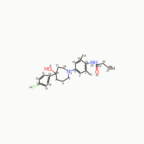 Cc1cc(N2CCCC(O)(c3ccc(F)cc3)CC2)cc(C)c1NC(=O)CC(C)(C)C